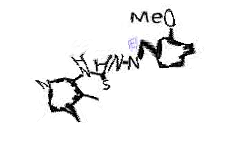 COc1ccccc1/C=N/NC(=S)Nc1cnccc1C